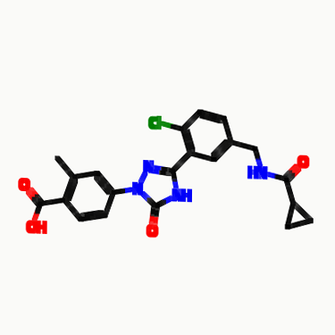 Cc1cc(-n2nc(-c3cc(CNC(=O)C4CC4)ccc3Cl)[nH]c2=O)ccc1C(=O)O